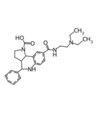 CCN(CC)CCNC(=O)c1ccc2c(c1)C1C(CCN1C(=O)O)C(c1ccccc1)N2